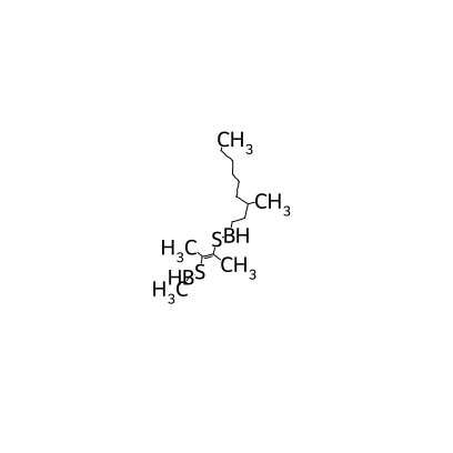 CBS/C(C)=C(\C)SBCCC(C)CCCCCC